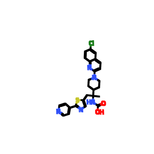 CC(Cc1cnc(-c2ccncc2)s1)(NC(=O)O)C1CCN(c2ccc3cc(Cl)ccc3n2)CC1